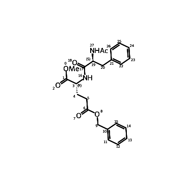 COC(=O)[C@@H](CCC(=O)OCc1ccccc1)NC(=O)[C@H](Cc1ccccc1)NC(C)=O